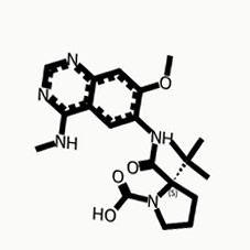 CNc1ncnc2cc(OC)c(NC(=O)[C@@]3(C(C)(C)C)CCCN3C(=O)O)cc12